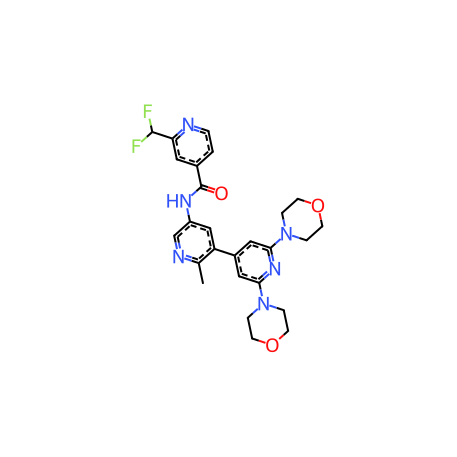 Cc1ncc(NC(=O)c2ccnc(C(F)F)c2)cc1-c1cc(N2CCOCC2)nc(N2CCOCC2)c1